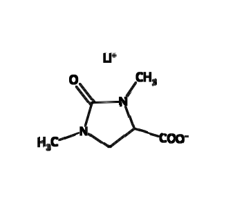 CN1CC(C(=O)[O-])N(C)C1=O.[Li+]